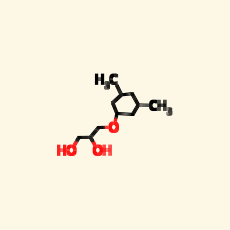 CC1CC(C)CC(OCC(O)CO)C1